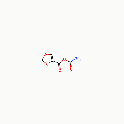 NC(=O)OC(=O)C1=COCO1